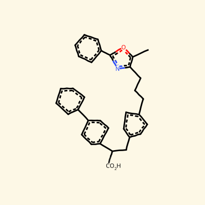 Cc1oc(-c2ccccc2)nc1CCCc1ccc(CC(C(=O)O)c2ccc(-c3ccccc3)cc2)cc1